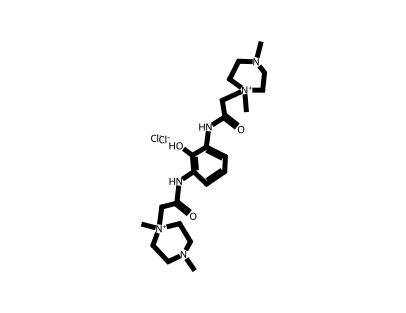 CN1CC[N+](C)(CC(=O)Nc2cccc(NC(=O)C[N+]3(C)CCN(C)CC3)c2O)CC1.[Cl-].[Cl-]